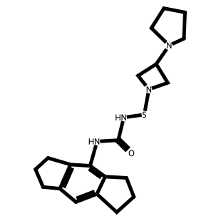 O=C(NSN1CC(N2CCCC2)C1)Nc1c2c(cc3c1CCC3)CCC2